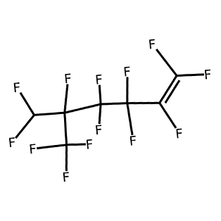 FC(F)=C(F)C(F)(F)C(F)(F)C(F)(C(F)F)C(F)(F)F